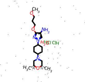 COCCCOc1nn(C2CCC(N3C[C@@H](C)O[C@@H](C)C3)CC2)cc1N.Cl.Cl.O